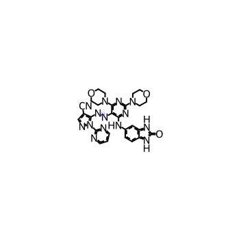 N#Cc1cnn(-c2ncccn2)c1/N=N/c1c(Nc2ccc3[nH]c(=O)[nH]c3c2)nc(N2CCOCC2)nc1N1CCOCC1